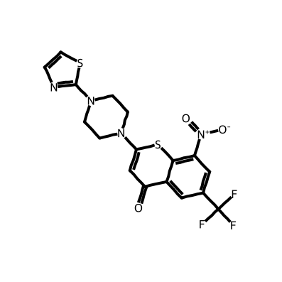 O=c1cc(N2CCN(c3nccs3)CC2)sc2c([N+](=O)[O-])cc(C(F)(F)F)cc12